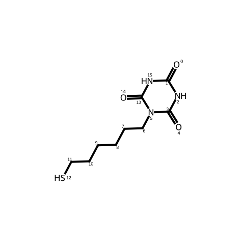 O=c1[nH]c(=O)n(CCCCCCS)c(=O)[nH]1